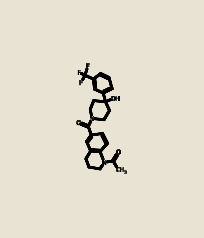 CC(=O)N1CCCc2cc(C(=O)N3CCC(O)(c4cccc(C(F)(F)F)c4)CC3)ccc21